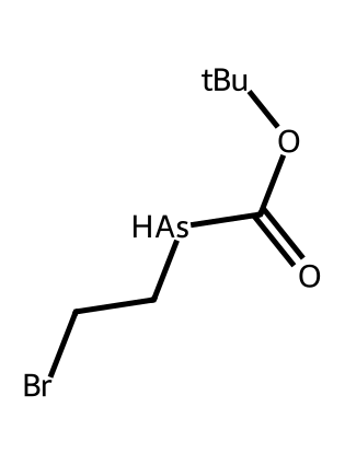 CC(C)(C)OC(=O)[AsH]CCBr